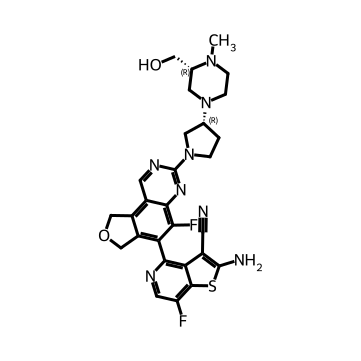 CN1CCN([C@@H]2CCN(c3ncc4c5c(c(-c6ncc(F)c7sc(N)c(C#N)c67)c(F)c4n3)COC5)C2)C[C@@H]1CO